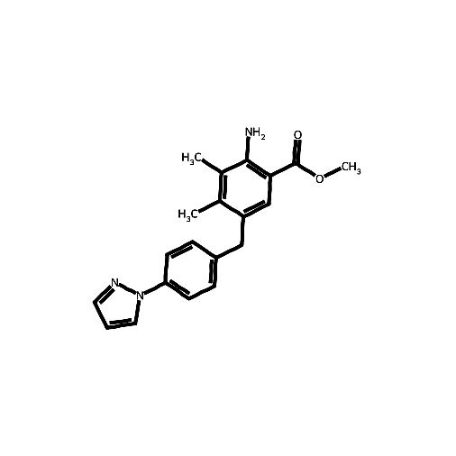 COC(=O)c1cc(Cc2ccc(-n3cccn3)cc2)c(C)c(C)c1N